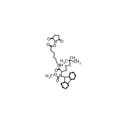 COC(=O)N(C(CSSC(C)(C)C)C(=O)NCCCCCC(=O)ON1C(=O)CCC1=O)C1c2ccccc2-c2ccccc21